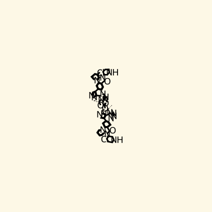 C[C@@H](OC(=O)O[C@H](C)n1nnnc1-c1c(-c2ccc(C(=O)N(c3ncccc3Cl)[C@@H]3CCCNC3)cc2)cnn1C)n1nnnc1-c1c(-c2ccc(C(=O)N(c3ncccc3Cl)[C@@H]3CCCNC3)cc2)cnn1C